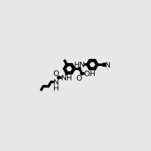 CCCCNC(=O)Nc1cc(C)cc(C(Nc2ccc(C#N)cc2)C(=O)O)c1